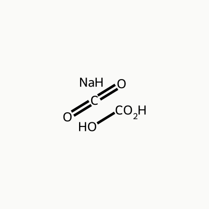 O=C(O)O.O=C=O.[NaH]